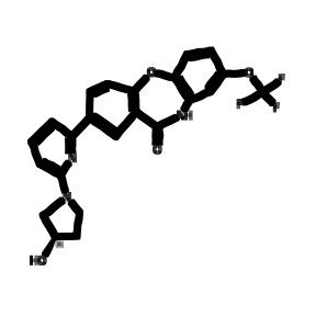 O=C1Nc2cc(OC(F)(F)F)ccc2Oc2ccc(-c3cccc(N4CC[C@@H](O)C4)n3)cc21